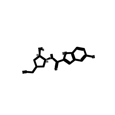 N[C@@H]1CC(CO)C[C@H]1NC(=O)c1cc2cc(Cl)ccc2[nH]1